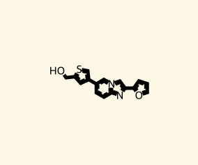 OCc1cc(-c2ccc3nc(-c4ccco4)cn3c2)cs1